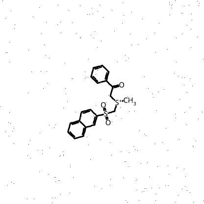 C[S+](CC(=O)c1ccccc1)CS(=O)(=O)c1ccc2ccccc2c1